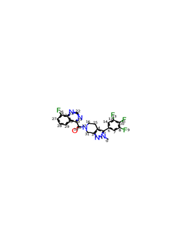 Cn1nc2c(c1-c1cc(F)c(F)c(F)c1)CCN(C(=O)c1ncnc3c(F)cccc13)C2